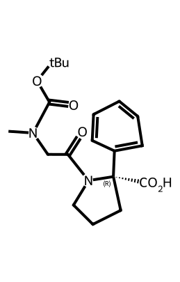 CN(CC(=O)N1CCC[C@]1(C(=O)O)c1ccccc1)C(=O)OC(C)(C)C